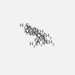 C=CC(=O)Nc1cc(Nc2nccc(-c3cn(C)c4cccc(C)c34)n2)c(C)cc1N(C)CCN(C)C